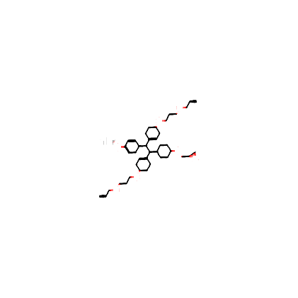 C=CCOCCCOC1CC=C(C(C2C=CC(OCCC)=CC2)C(C2=CCC(OCCCOCC=C)CC2)C2CCC(OCC3CO3)CC2)CC1